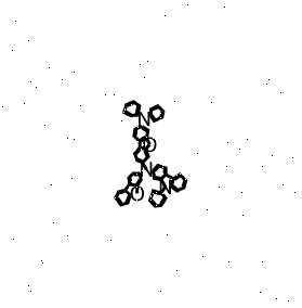 c1ccc(N(c2ccccc2)c2ccc3c(c2)oc2cc(N(c4ccc5c(c4)oc4ccccc45)c4ccc5c6ccccc6n(-c6ccccc6)c5c4)ccc23)cc1